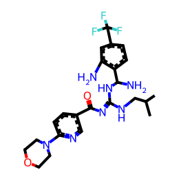 CC(C)CN/C(=N/C(=O)c1ccc(N2CCOCC2)nc1)NC(N)c1ccc(C(F)(F)F)cc1N